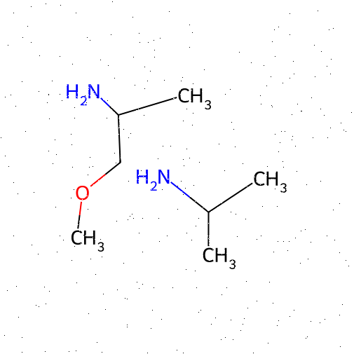 CC(C)N.COCC(C)N